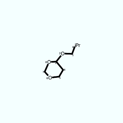 CC(C)COC1CCOCO1